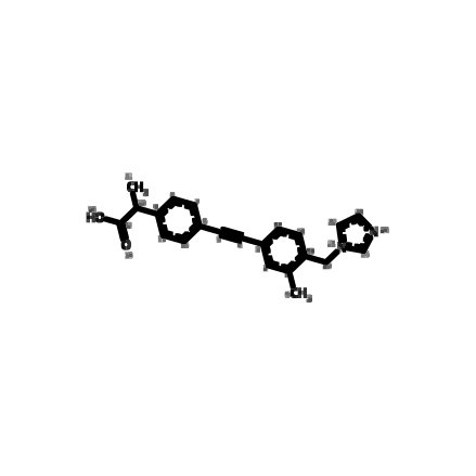 Cc1cc(C#Cc2ccc(C(C)C(=O)O)cc2)ccc1Cn1ccnc1